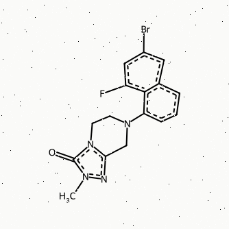 Cn1nc2n(c1=O)CCN(c1cccc3cc(Br)cc(F)c13)C2